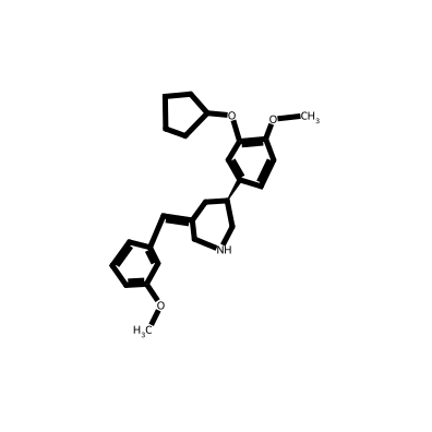 COc1cccc(C=C2CNC[C@H](c3ccc(OC)c(OC4CCCC4)c3)C2)c1